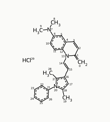 C=C1C=Cc2cc(N(C)C)ccc2N1/C=C/c1cc(C)n(-c2ccccc2)c1C.Cl